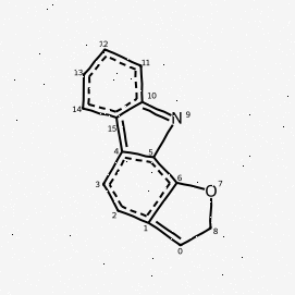 C1=c2ccc3c(c2OC1)N=c1ccccc1=3